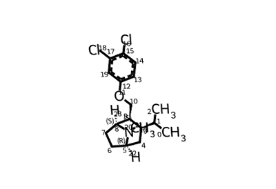 CC(C)[C@H]1C[C@H]2CC[C@@H]([C@H]1COc1ccc(Cl)c(Cl)c1)N2C